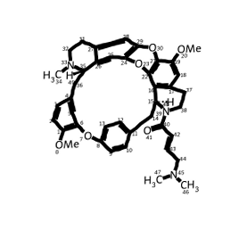 COc1ccc2cc1Oc1ccc(cc1)C[C@H]1c3c(cc(OC)c4c3Oc3cc5c(cc3O4)CCN(C)[C@H]5C2)CCN1C(=O)/C=C/CN(C)C